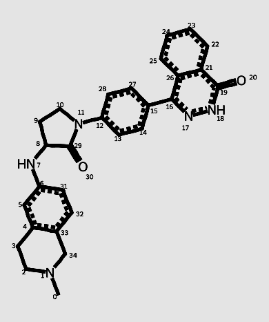 CN1CCc2cc(NC3CCN(c4ccc(-c5n[nH]c(=O)c6ccccc56)cc4)C3=O)ccc2C1